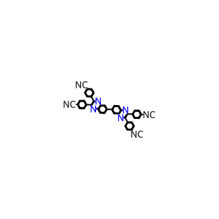 [C-]#[N+]c1ccc(-c2nc3ccc(-c4ccc5nc(-c6ccc(C#N)cc6)c(-c6ccc(C#N)cc6)nc5c4)cc3nc2-c2ccc([N+]#[C-])cc2)cc1